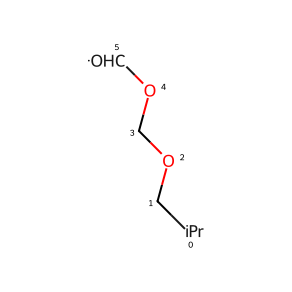 CC(C)COCO[C]=O